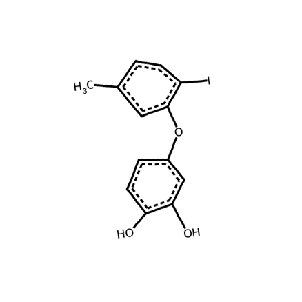 Cc1ccc(I)c(Oc2ccc(O)c(O)c2)c1